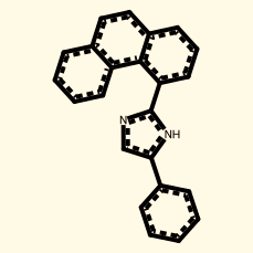 c1ccc(-c2cnc(-c3cccc4ccc5ccccc5c34)[nH]2)cc1